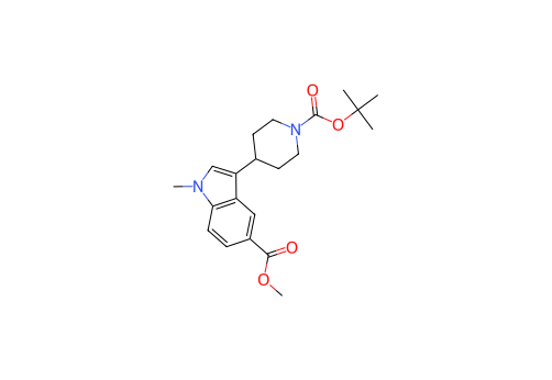 COC(=O)c1ccc2c(c1)c(C1CCN(C(=O)OC(C)(C)C)CC1)cn2C